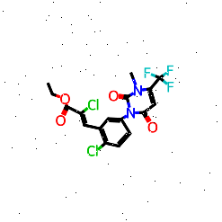 CCOC(=O)C(Cl)=Cc1cc(-n2c(=O)cc(C(F)(F)F)n(C)c2=O)ccc1Cl